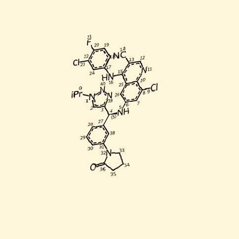 CC(C)n1cc([C@@H](Nc2cc(Cl)c3ncc(C#N)c(Nc4ccc(F)c(Cl)c4)c3c2)c2cccc(N3CCCC3=O)c2)nn1